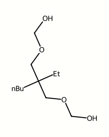 CCCCC(CC)(COCO)COCO